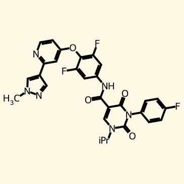 CC(C)n1cc(C(=O)Nc2cc(F)c(Oc3ccnc(-c4cnn(C)c4)c3)c(F)c2)c(=O)n(-c2ccc(F)cc2)c1=O